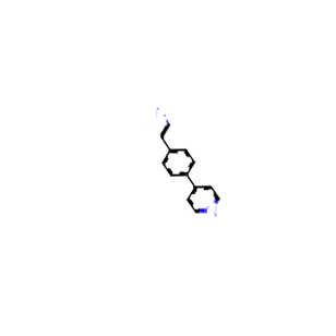 N/C=C/c1ccc(-c2ccncc2)cc1